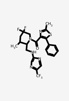 Cc1nc(C(=O)N2CC(F)(F)CC(C)C2CNc2cnc(C(F)(F)F)cn2)c(-c2ccccc2)s1